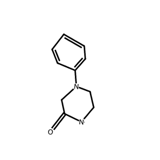 O=C1CN(c2ccccc2)CC[N]1